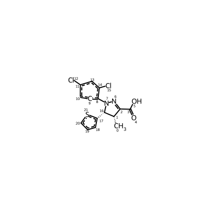 C[C@H]1C(C(=O)O)=NN(c2ccc(Cl)cc2Cl)[C@H]1c1cccs1